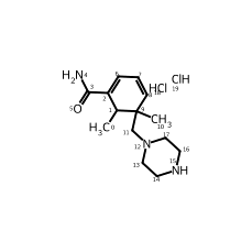 CC1C(C(N)=O)=CC=CC1(C)CN1CCNCC1.Cl.Cl